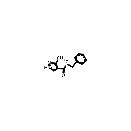 Cc1n[nH]cc1C(=O)NCc1ccccc1